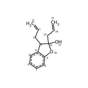 C=CCC1c2ccccc2OC1(O)CC=C